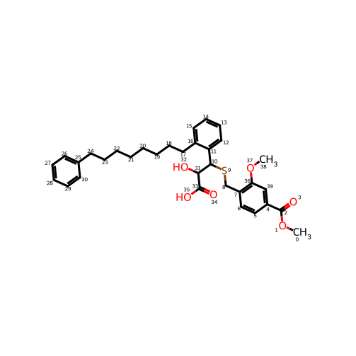 COC(=O)c1ccc(CSC(c2ccccc2CCCCCCCCc2ccccc2)C(O)C(=O)O)c(OC)c1